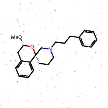 CO[C@H]1Cc2ccccc2[C@@]2(CCCN(CCCc3ccccc3)C2)O1